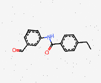 CCc1ccc(C(=O)Nc2cccc(C=O)c2)cc1